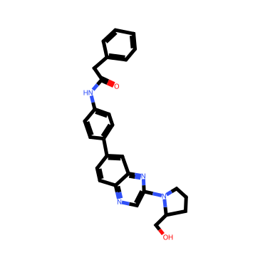 O=C(Cc1ccccc1)Nc1ccc(-c2ccc3ncc(N4CCCC4CO)nc3c2)cc1